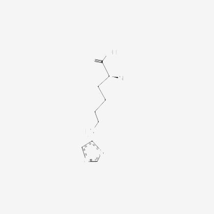 NCCCC[C@H](N)C(=O)O.c1cocn1